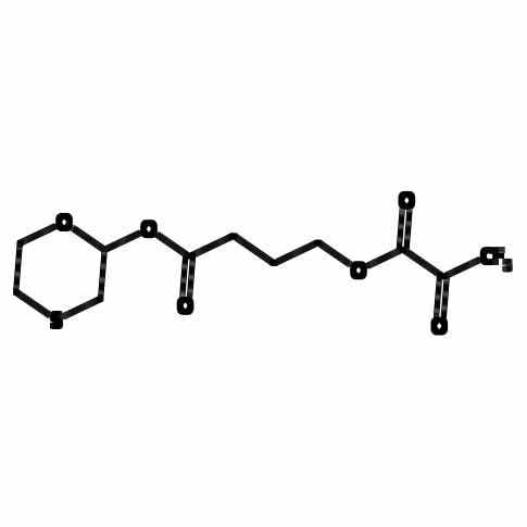 O=C(CCCOC(=O)C(=O)C(F)(F)F)OC1CSCCO1